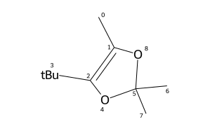 CC1=C(C(C)(C)C)OC(C)(C)O1